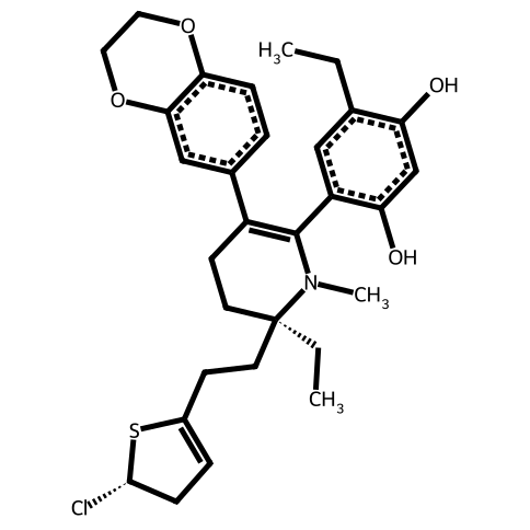 CCc1cc(C2=C(c3ccc4c(c3)OCCO4)CC[C@](CC)(CCC3=CC[C@H](Cl)S3)N2C)c(O)cc1O